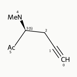 C#CC[C@H](NC)C(C)=O